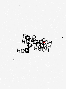 O=C(O)C1O[C@@H](OC2(c3ccccc3)CCC3(CC2)C(=O)N(c2ccc(F)cc2)[C@@H]3c2ccc(-c3cccc(O)c3)cc2O)C(O)[C@@H](O)[C@@H]1O